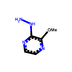 COc1nccnc1NN